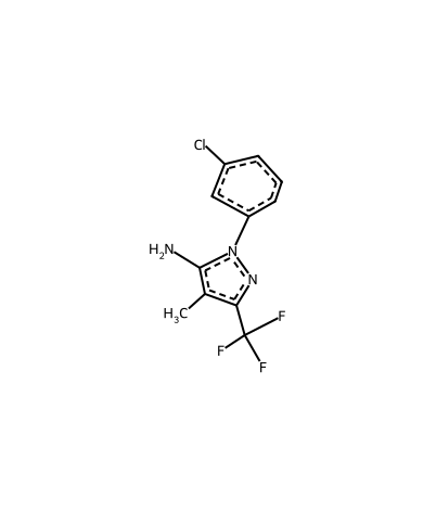 Cc1c(C(F)(F)F)nn(-c2cccc(Cl)c2)c1N